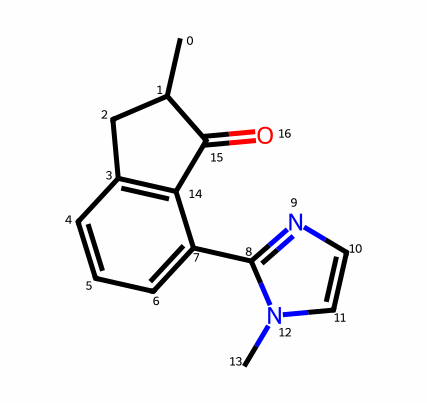 CC1Cc2cccc(-c3nccn3C)c2C1=O